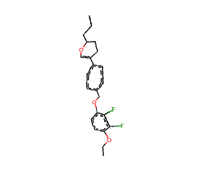 CCCC1CCC(c2ccc(COc3ccc(OCC)c(F)c3F)cc2)=CO1